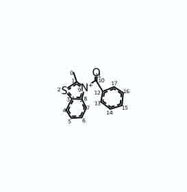 Cc1sc2ccccc2[n+]1C(=O)c1ccccc1